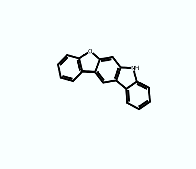 [c]1cccc2oc3cc4[nH]c5ccccc5c4cc3c12